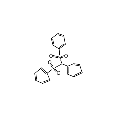 O=S(=O)(c1ccccc1)C(c1ccccc1)S(=O)(=O)c1ccccc1